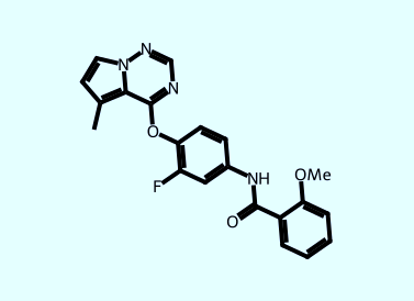 COc1ccccc1C(=O)Nc1ccc(Oc2ncnn3ccc(C)c23)c(F)c1